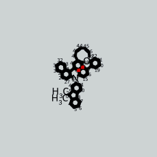 CC1(C)c2ccccc2-c2ccc(N(c3ccc(-c4ccccc4)cc3)c3ccc4ccccc4c3-c3ccc4c(c3)C/C=C\C=C/CO4)cc21